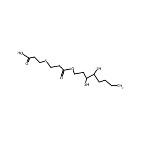 CCCCC(S)C(S)CCOC(=O)CCSCCC(=O)O